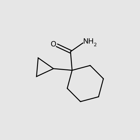 NC(=O)C1(C2CC2)CCCCC1